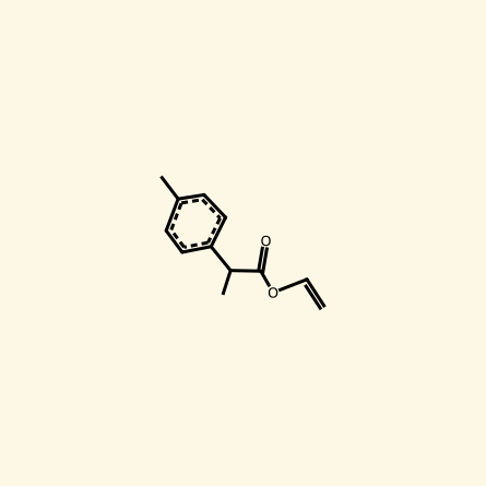 C=COC(=O)C(C)c1ccc(C)cc1